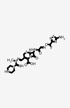 CN(N=CC1=C(C(=O)O)N2C(=O)C(NC(=O)C=NOC(F)c3nsc(N)n3)[C@@H]2SC1)C(=N)N1CCNCC1